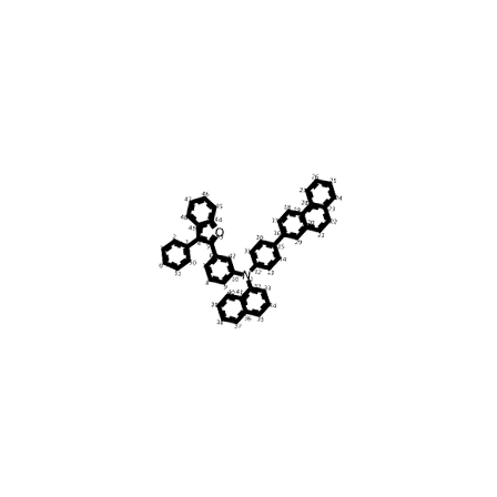 c1ccc(-c2c(-c3cccc(N(c4ccc(-c5ccc6c(ccc7ccccc76)c5)cc4)c4cccc5ccccc45)c3)oc3ccccc23)cc1